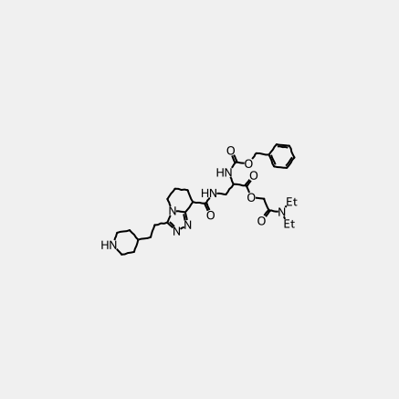 CCN(CC)C(=O)COC(=O)C(CNC(=O)C1CCCn2c(CCC3CCNCC3)nnc21)NC(=O)OCc1ccccc1